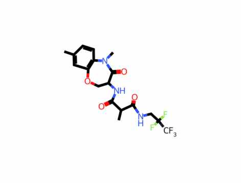 Cc1ccc2c(c1)OCC(NC(=O)C(C)C(=O)NCC(F)(F)C(F)(F)F)C(=O)N2C